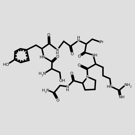 CC(C)CC(NC(=O)CNC(=O)C(Cc1ccc(O)cc1)NC(=O)C(N)CO)C(=O)NC(CCCNC(=N)N)C(=O)N1CCCC1C(=O)NCC(N)=O